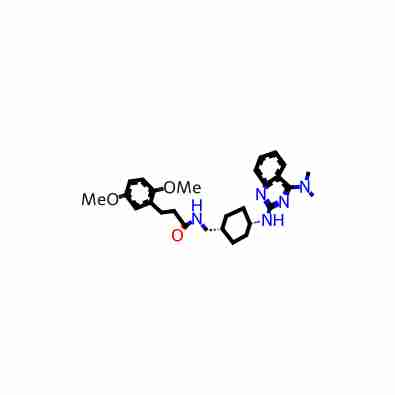 COc1ccc(OC)c(CCC(=O)NC[C@H]2CC[C@@H](Nc3nc(N(C)C)c4ccccc4n3)CC2)c1